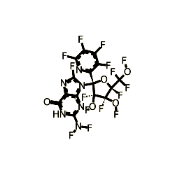 O=c1[nH]c(N(F)F)nc2c1nc(F)n2[C@]1(c2nc(F)c(F)c(F)c2F)O[C@](F)(C(F)(F)OF)[C@@](F)(OF)[C@@]1(F)OF